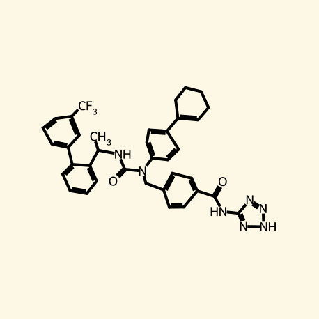 CC(NC(=O)N(Cc1ccc(C(=O)Nc2nn[nH]n2)cc1)c1ccc(C2=CCCCC2)cc1)c1ccccc1-c1cccc(C(F)(F)F)c1